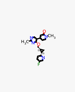 Cc1ncc(-c2ccn(C)c(=O)c2)c(OC[C@H]2C[C@@H]2c2ccc(F)cn2)n1